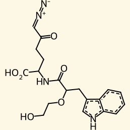 [N-]=[N+]=CC(=O)CCC(NC(=O)C(Cc1c[nH]c2ccccc12)OCCO)C(=O)O